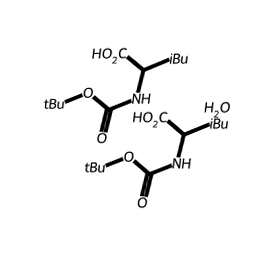 CCC(C)C(NC(=O)OC(C)(C)C)C(=O)O.CCC(C)C(NC(=O)OC(C)(C)C)C(=O)O.O